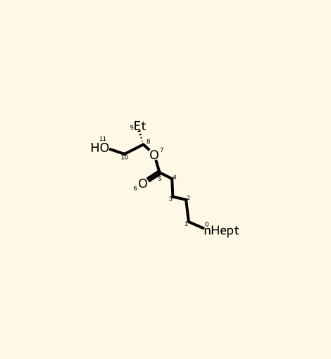 CCCCCCCCCCCC(=O)O[C@@H](CC)CO